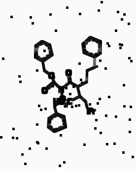 CC(C)CC(C(=O)O)C(CCCc1ccccc1)C(=O)N(OCc1ccccc1)C(=O)OCc1ccccc1